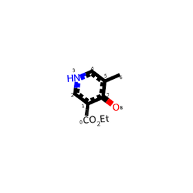 CCOC(=O)c1c[nH]cc(C)c1=O